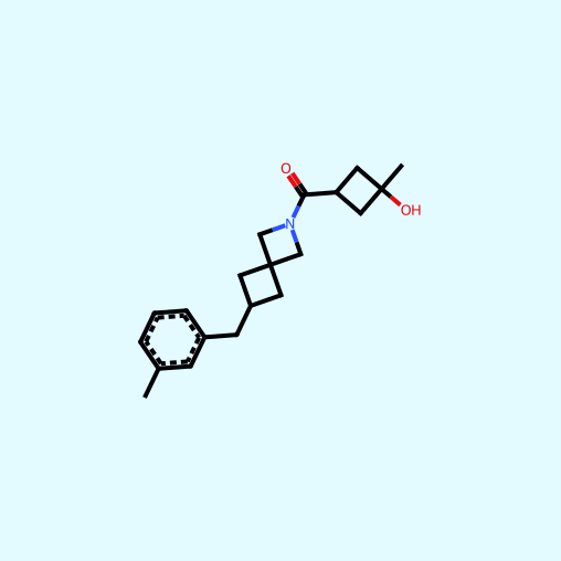 Cc1cccc(CC2CC3(C2)CN(C(=O)C2CC(C)(O)C2)C3)c1